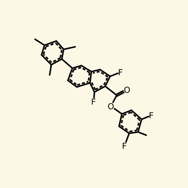 Cc1cc(C)c(-c2ccc3c(F)c(C(=O)Oc4cc(F)c(C)c(F)c4)c(F)cc3c2)c(C)c1